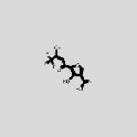 O=C(O)c1csc(C(=O)/C=C(/O)C(F)(F)F)c1O